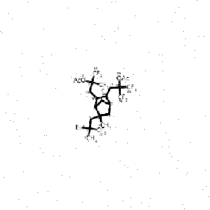 CCC(C)(CC1(C)CC2CC1C(CC(OC(C)=O)(C(F)(F)F)C(F)(F)F)C2CC(OC(C)=O)(C(F)(F)F)C(F)(F)F)C(F)(F)F